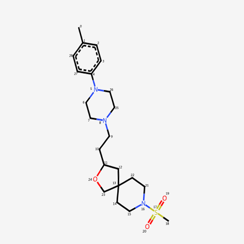 Cc1ccc(N2CCN(CCC3CC4(CCN(S(C)(=O)=O)CC4)CO3)CC2)cc1